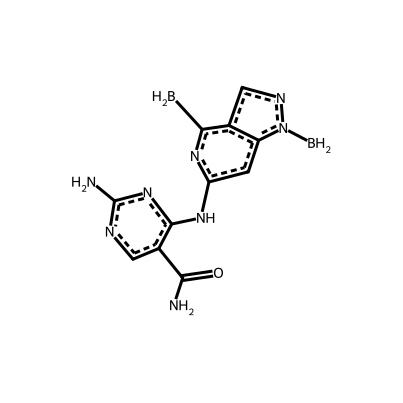 Bc1nc(Nc2nc(N)ncc2C(N)=O)cc2c1cnn2B